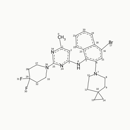 Cc1cc(Nc2c(N3CCC4(CC3)CC4)cc(Br)c3ccccc23)nc(N2CCC(F)(F)CC2)n1